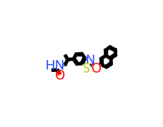 CC(=O)NCC(C)c1ccc2nc(Oc3ccc4ccccc4c3)sc2c1